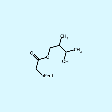 CCCCCCC(=O)OCC(C)C(C)O